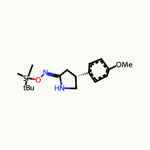 COc1ccc([C@@H]2CN/C(=N\O[Si](C)(C)C(C)(C)C)C2)cc1